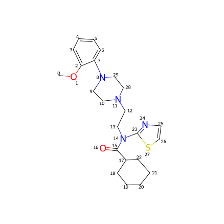 COc1ccccc1N1CCN(CCN(C(=O)C2CCCCC2)c2nccs2)CC1